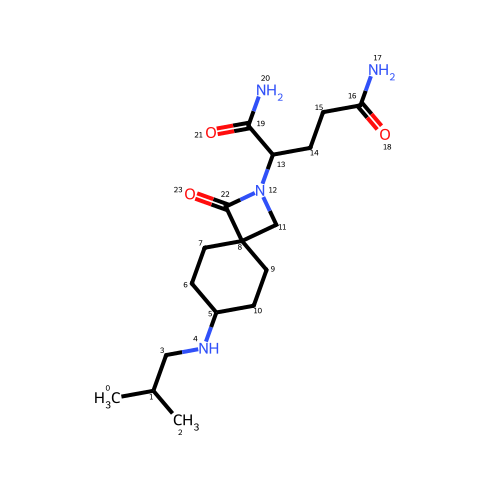 CC(C)CNC1CCC2(CC1)CN(C(CCC(N)=O)C(N)=O)C2=O